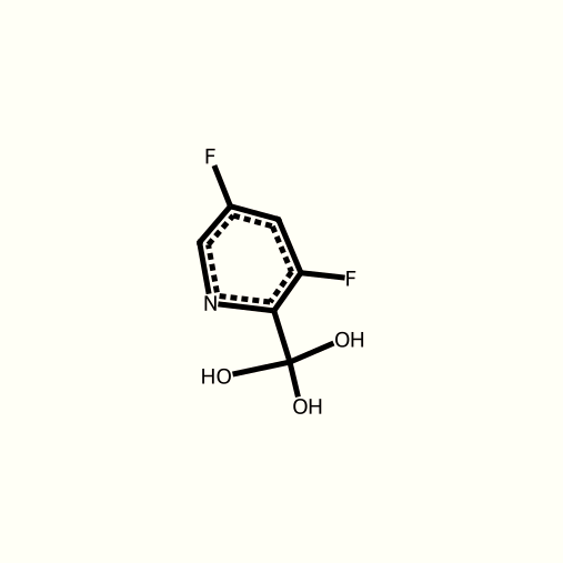 OC(O)(O)c1ncc(F)cc1F